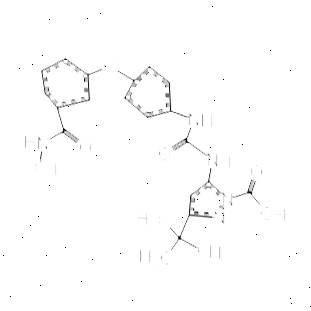 CNC(=O)c1cccc(Oc2ccc(NC(=O)Nc3cc(C(C)(C)C)nn3C(=O)O)cc2)c1